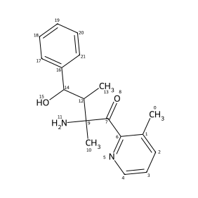 Cc1cccnc1C(=O)C(C)(N)C(C)C(O)c1ccccc1